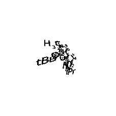 CC(C)n1cc2ccc(C3=CC[C@H](C)CN3C(=O)OC(C)(C)C)cc2n1